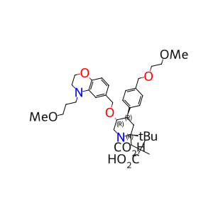 COCCCN1CCOc2ccc(CO[C@H]3CN(C(=O)O)[C@](CC(C)(C)C(=O)O)(C(C)(C)C)C[C@@H]3c3ccc(COCCOC)cc3)cc21